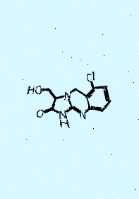 O=C1NC2=Nc3cccc(Cl)c3CN2C1CO